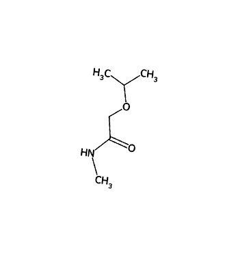 CNC(=O)COC(C)C